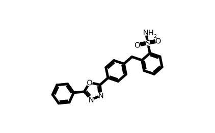 NS(=O)(=O)c1ccccc1Cc1ccc(-c2nnc(-c3ccccc3)o2)cc1